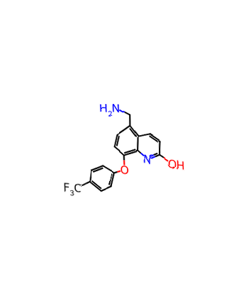 NCc1ccc(Oc2ccc(C(F)(F)F)cc2)c2nc(O)ccc12